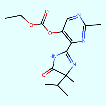 CCOC(=O)Oc1cnc(C)nc1C1=NC(C)(C(C)C)C(=O)N1